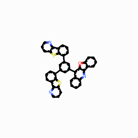 c1ccc2c(-c3cc(-c4cccc5c4sc4cccnc45)cc(-c4cccc5c4sc4cccnc45)c3)c3oc4ccccc4c3nc2c1